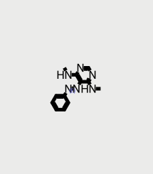 CNc1ncnc(NC)c1/N=N/c1ccccc1